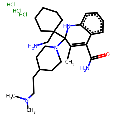 CC1=C(C(N)=O)c2ccccc2NC1(N1CCC(CCN(C)C)CC1)C1(CN)CCCCC1.Cl.Cl.Cl